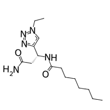 CCCCCCCC(=O)N[C@H](CC(N)=O)c1cn(CC)nn1